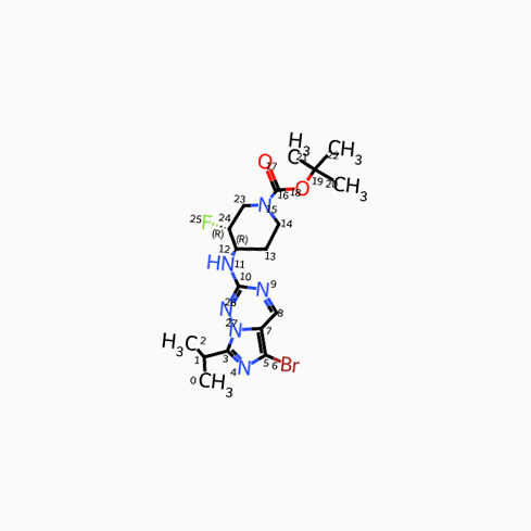 CC(C)c1nc(Br)c2cnc(N[C@@H]3CCN(C(=O)OC(C)(C)C)C[C@H]3F)nn12